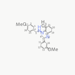 COc1ccc(CNN2CC(c3cccc(OC)c3)=Nc3cccc(C)c32)cc1